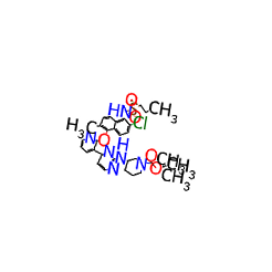 CCCS(=O)(=O)Nc1c(Cl)ccc2c(Oc3ncccc3-c3ccnc(N[C@H]4CCCN(C(=O)OC(C)(C)C)C4)n3)c(C)ccc12